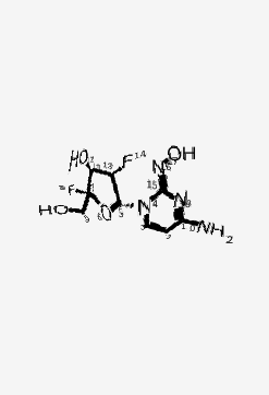 Nc1ccn([C@@H]2O[C@](F)(CO)[C@@H](O)[C@H]2F)/c(=N/O)n1